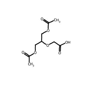 CC(=O)OCC(COC(C)=O)OCC(=O)O